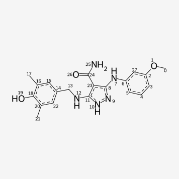 COc1cccc(Nc2n[nH]c(NCc3cc(C)c(O)c(C)c3)c2C(N)=O)c1